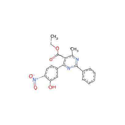 CCOC(=O)c1c(C)nc(-c2ccccc2)nc1-c1ccc([N+](=O)[O-])c(O)c1